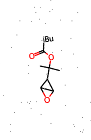 CCC(C)C(=O)OC(C)(C)C1C2OC21